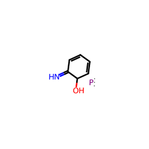 N=C1C=CC=CC1O.[P]